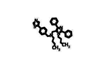 CCCCN(Cc1ccc(-c2cncs2)cc1)Cc1c(-c2ccccc2)nc(-c2ccccc2)n1CCCC